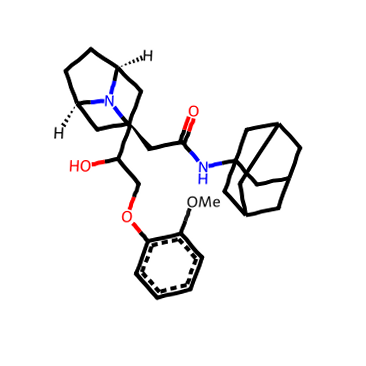 COc1ccccc1OCC(O)CN1[C@@H]2CC[C@H]1C[C@@H](CC(=O)NC13CC4CC(CC(C4)C1)C3)C2